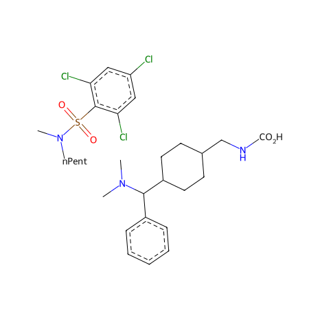 CCCCCN(C)S(=O)(=O)c1c(Cl)cc(Cl)cc1Cl.CN(C)C(c1ccccc1)C1CCC(CNC(=O)O)CC1